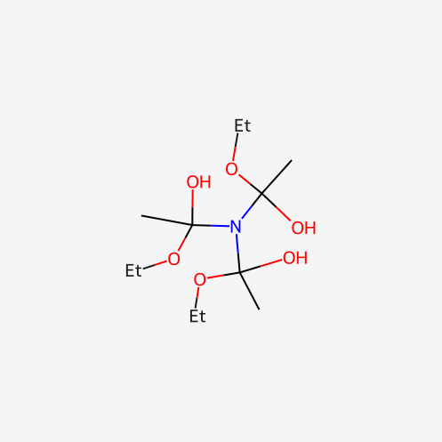 CCOC(C)(O)N(C(C)(O)OCC)C(C)(O)OCC